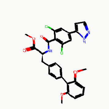 COC(=O)[C@H](Cc1ccc(-c2c(OC)cccc2OC)cc1)NC(=O)c1c(Cl)cc(-c2ccn[nH]2)cc1Cl